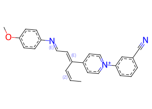 C\C=C/C(=C\C=N\c1ccc(OC)cc1)c1cc[n+](-c2cccc(C#N)c2)cc1